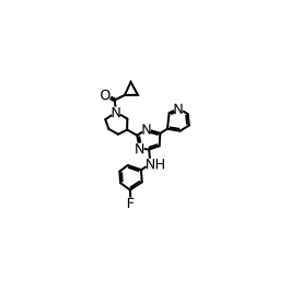 O=C(C1CC1)N1CCCC(c2nc(Nc3cccc(F)c3)cc(-c3cccnc3)n2)C1